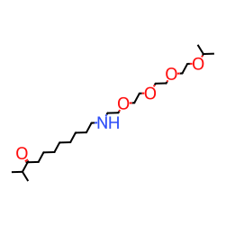 CC(C)OCCOCCOCCOCCNCCCCCCCCC(=O)C(C)C